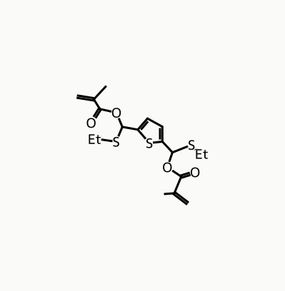 C=C(C)C(=O)OC(SCC)c1ccc(C(OC(=O)C(=C)C)SCC)s1